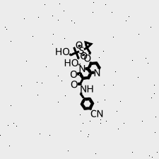 Cn1c(=O)c(C(=O)NCc2ccc(C#N)cc2)cc2nccc(OCC3(S(=O)(=O)C(C)(CO)CO)CC3)c21